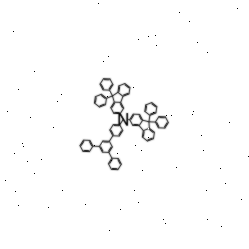 c1ccc(-c2cc(-c3ccccc3)cc(-c3ccc(N(c4ccc5c(c4)-c4ccccc4C5(c4ccccc4)c4ccccc4)c4ccc5c(c4)-c4ccccc4C5(c4ccccc4)c4ccccc4)cc3)c2)cc1